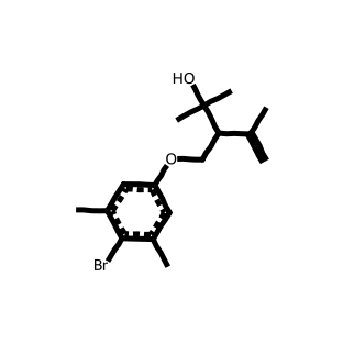 C=C(C)C(COc1cc(C)c(Br)c(C)c1)C(C)(C)O